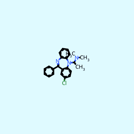 CC(N(C)C)N1c2ccccc2N=C(c2ccccc2)c2cc(Cl)ccc21